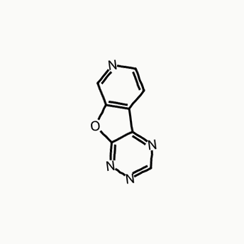 c1cc2c(cn1)oc1nncnc12